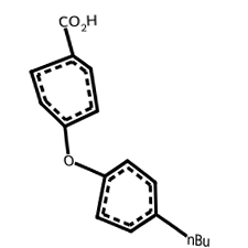 CCCCc1ccc(Oc2ccc(C(=O)O)cc2)cc1